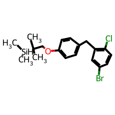 C[SiH](C)C(C)(C)COc1ccc(Cc2cc(Br)ccc2Cl)cc1